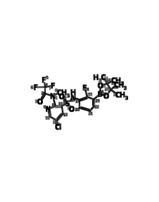 CN(C(=O)C(F)(F)F)c1ncc(Cl)cc1S(=O)(=O)Nc1cccc(B2OC(C)(C)C(C)(C)O2)c1F